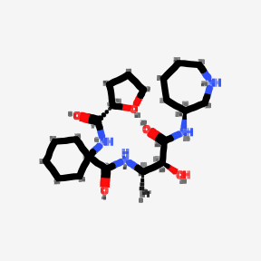 CC(C)[C@H](NC(=O)C1(NC(=O)[C@@H]2CCCO2)CCCCC1)[C@H](O)C(=O)N[C@H]1CCCCNC1